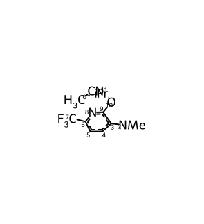 CC#N.CNc1ccc(C(F)(F)F)nc1OC(C)C